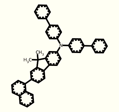 CC1(C)c2cc(-c3cccc4ccccc34)ccc2-c2ccc(N(c3ccc(-c4ccccc4)cc3)c3ccc(-c4ccccc4)cc3)cc21